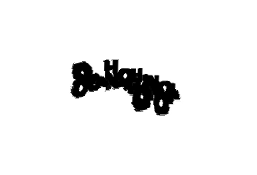 COc1ccccc1OCCNCC(O)COc1cccc2c1c(C)nn2C(=O)OC(C)(C)C